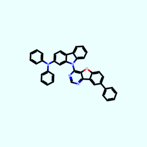 c1ccc(-c2ccc3oc4c(-n5c6ccccc6c6ccc(N(c7ccccc7)c7ccccc7)cc65)ncnc4c3c2)cc1